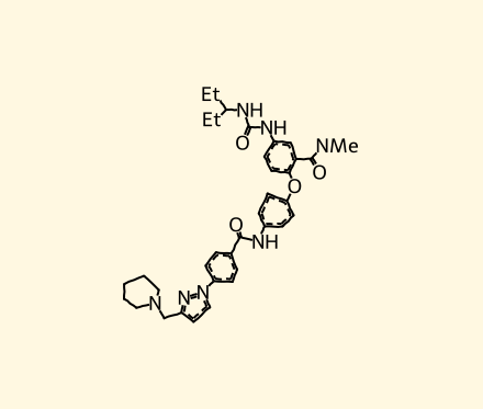 CCC(CC)NC(=O)Nc1ccc(Oc2ccc(NC(=O)c3ccc(-n4ccc(CN5CCCCC5)n4)cc3)cc2)c(C(=O)NC)c1